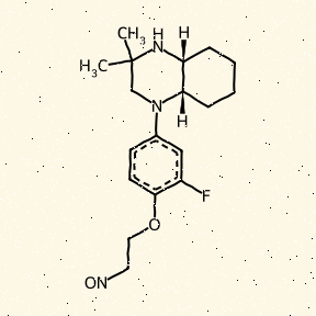 CC1(C)CN(c2ccc(OCCN=O)c(F)c2)[C@H]2CCCC[C@H]2N1